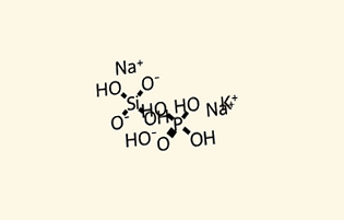 O=P(O)(O)O.[K+].[Na+].[Na+].[O-][Si]([O-])(O)O.[OH-]